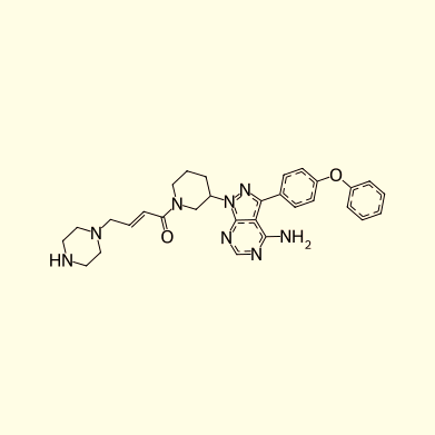 Nc1ncnc2c1c(-c1ccc(Oc3ccccc3)cc1)nn2C1CCCN(C(=O)C=CCN2CCNCC2)C1